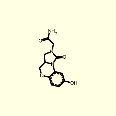 NC(=O)CN1CC2COc3ccc(O)cc3N2C1=O